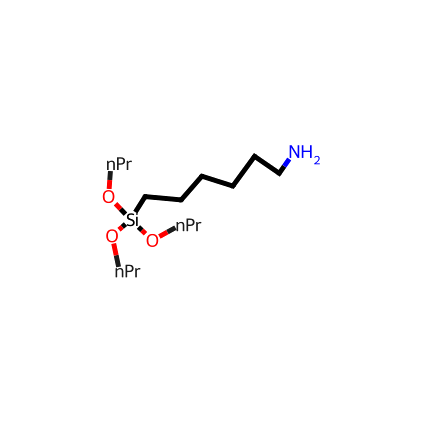 CCCO[Si](CCCCCCN)(OCCC)OCCC